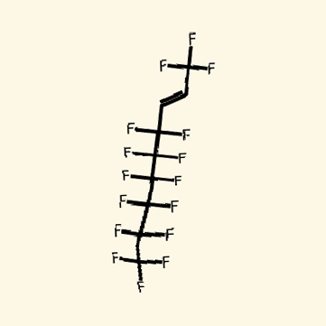 FC(F)(F)/C=C/C(F)(F)C(F)(F)C(F)(F)C(F)(F)C(F)(F)C(F)(F)F